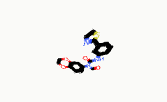 O=CN(C(=O)Nc1cccc(-c2nccs2)c1)c1ccc2c(c1)OCCO2